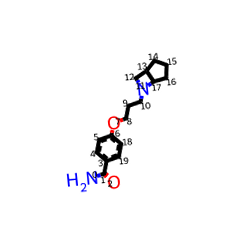 NC(=O)c1ccc(OCCCN2CC3CCCC32)cc1